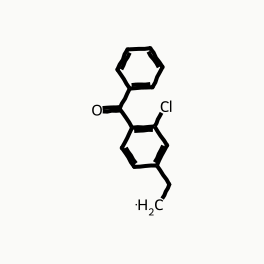 [CH2]Cc1ccc(C(=O)c2ccccc2)c(Cl)c1